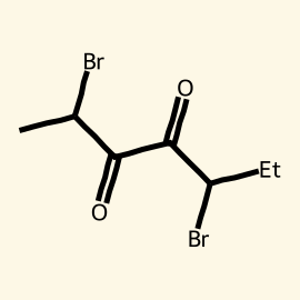 CCC(Br)C(=O)C(=O)C(C)Br